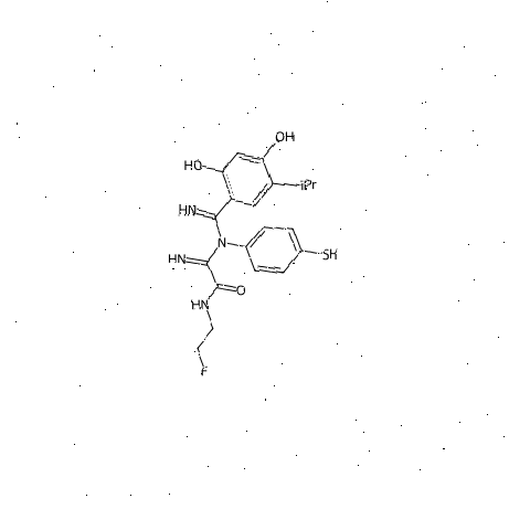 CC(C)c1cc(C(=N)N(C(=N)C(=O)NCCF)c2ccc(S)cc2)c(O)cc1O